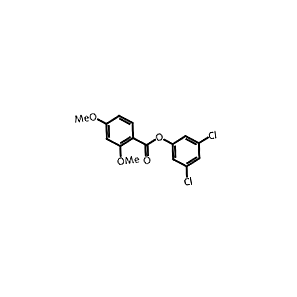 COc1ccc(C(=O)Oc2cc(Cl)cc(Cl)c2)c(OC)c1